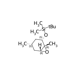 C[C@@H]1C[C@H](O[Si](C)(C)C(C)(C)C)[C@]2(C)O[C@@H]2C1